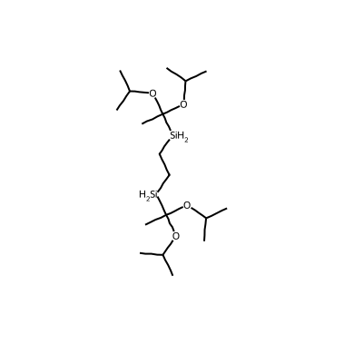 CC(C)OC(C)(OC(C)C)[SiH2]CC[SiH2]C(C)(OC(C)C)OC(C)C